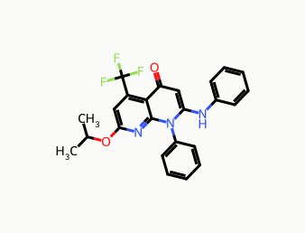 CC(C)Oc1cc(C(F)(F)F)c2c(=O)cc(Nc3ccccc3)n(-c3ccccc3)c2n1